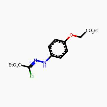 CCOC(=O)COc1ccc(N/N=C(\Cl)C(=O)OCC)cc1